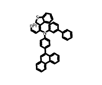 CCC/C=C\C(=C1/CSc2ccccc21)N(c1ccc(-c2cc3ccccc3c3ccccc23)cc1)c1cccc(-c2ccccc2)c1